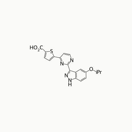 CC(C)Oc1ccc2[nH]nc(-c3nccc(-c4ccc(C(=O)O)s4)n3)c2c1